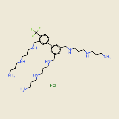 Cl.NCCCNCCCNCc1cc(CNCCCNCCCN)cc(-c2ccc(C(F)(F)F)c(CNCCCNCCCN)c2)c1